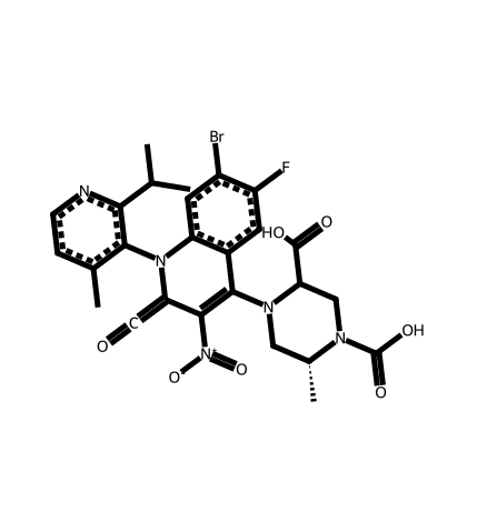 Cc1ccnc(C(C)C)c1N1C(=C=O)C([N+](=O)[O-])=C(N2C[C@@H](C)N(C(=O)O)CC2C(=O)O)c2cc(F)c(Br)cc21